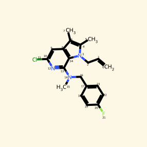 C=CCn1c(C)c(C)c2cc(Cl)nc(N(C)Cc3ccc(F)cc3)c21